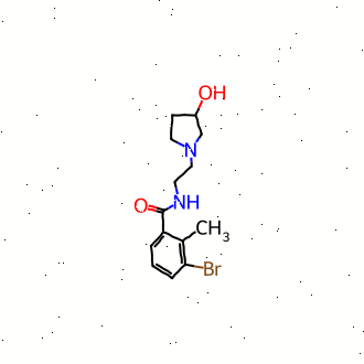 Cc1c(Br)cccc1C(=O)NCCN1CCC(O)C1